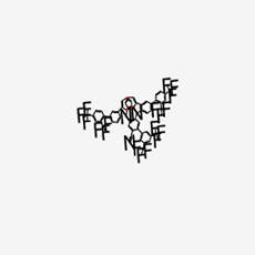 N#Cc1cc(-n2c3ccccc3c3cc(-c4ccc(C(F)(F)F)cc4C(F)(F)F)ccc32)c(-n2c3ccccc3c3cc(-c4ccc(C(F)(F)F)cc4C(F)(F)F)ccc32)cc1-c1cc(C(F)(F)F)cc(C(F)(F)F)c1